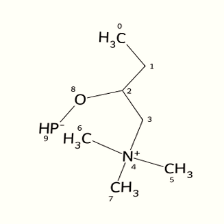 CCC(C[N+](C)(C)C)O[PH-]